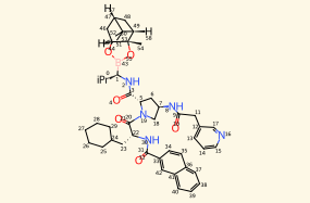 CC(C)[C@H](NC(=O)[C@@H]1C[C@@H](NC(=O)Cc2cccnc2)CN1C(=O)[C@@H](CC1CCCCC1)NC(=O)c1ccc2ccccc2c1)B1O[C@@H]2C[C@@H]3C[C@@H](C3(C)C)[C@]2(C)O1